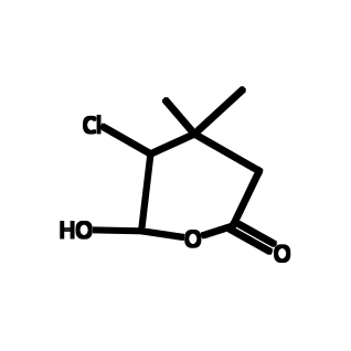 CC1(C)CC(=O)OC(O)C1Cl